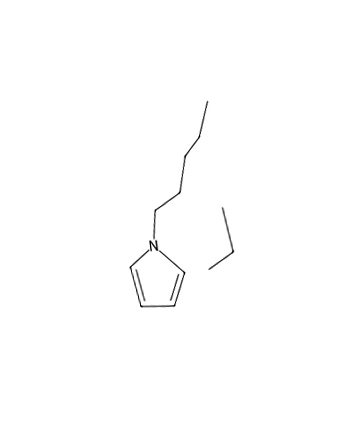 CCC.CCCCCn1cccc1